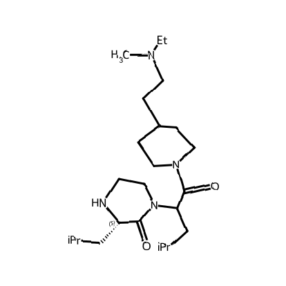 CCN(C)CCC1CCN(C(=O)C(CC(C)C)N2CCN[C@@H](CC(C)C)C2=O)CC1